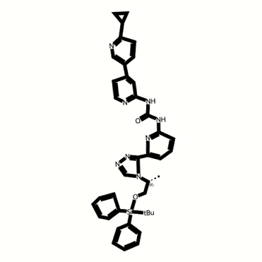 C[C@H](CO[Si](c1ccccc1)(c1ccccc1)C(C)(C)C)n1cnnc1-c1cccc(NC(=O)Nc2cc(-c3ccc(C4CC4)nc3)ccn2)n1